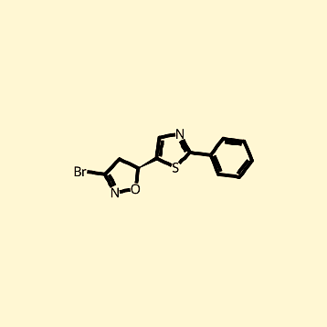 BrC1=NO[C@H](c2cnc(-c3ccccc3)s2)C1